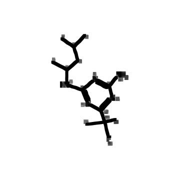 CC(C)CC(C)Nc1nc(N)nc(C(C)(C)F)n1